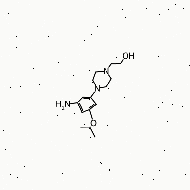 CC(C)Oc1cc(N)cc(N2CCN(CCO)CC2)c1